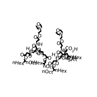 CCCCCCCCC(CCCCCC)COC(=O)CC(=O)OCC(C)(C)C(C(=O)NCCC(=O)OCCN1CCOCC1)C(CCC(=O)O)(CC(CCCCCC)CCCCCCCC)C(=O)O.CCCCCCCCC(CCCCCC)COC(=O)CCCC(=O)OC(C(=O)NCCC(=O)OCCN1CCOCC1)C(C)(C)COC(=O)CC(=O)OCC(CCCCCC)CCCCCCCC